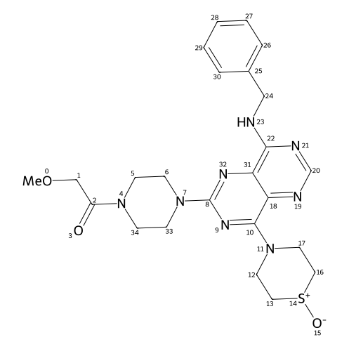 COCC(=O)N1CCN(c2nc(N3CC[S+]([O-])CC3)c3ncnc(NCc4ccccc4)c3n2)CC1